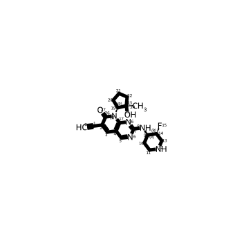 C#Cc1cc2cnc(N[C@@H]3CCNC[C@H]3F)nc2n([C@@H]2CCC[C@@]2(C)O)c1=O